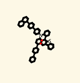 c1ccc(-c2ccc(-c3ccc(N(c4ccc(-c5ccc(-c6cccc7ccccc67)cc5)cc4)c4ccccc4-c4cccc5c4sc4ccccc45)cc3)cc2)cc1